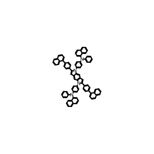 c1ccc(N(c2ccc(-n3c(-c4ccc(-c5cccc6ccccc56)cc4)cc4cc5c(cc(-c6ccc(-c7cccc8ccccc78)cc6)n5-c5ccc(N(c6ccccc6)c6cccc7ccccc67)cc5)cc43)cc2)c2cccc3ccccc23)cc1